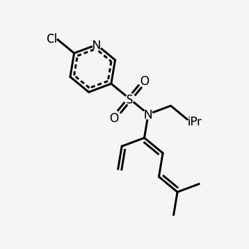 C=C/C(=C\C=C(C)C)N(CC(C)C)S(=O)(=O)c1ccc(Cl)nc1